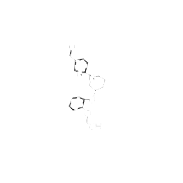 CCOc1ccccc1O[C@@H]1CCCN(c2ccc(C=O)cn2)C1